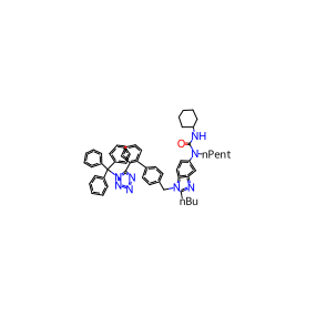 CCCCCN(C(=O)NC1CCCCC1)c1ccc2c(c1)nc(CCCC)n2Cc1ccc(-c2ccccc2-c2nnnn2C(c2ccccc2)(c2ccccc2)c2ccccc2)cc1